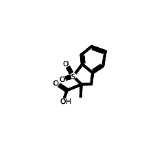 CC1(C(=O)O)Cc2ccccc2S1(=O)=O